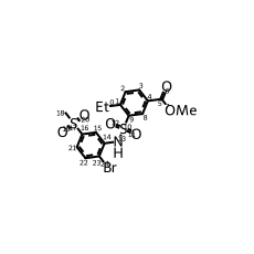 CCc1ccc(C(=O)OC)cc1S(=O)(=O)Nc1cc(S(C)(=O)=O)ccc1Br